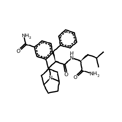 CC(C)C[C@H](NC(=O)[C@H](Cc1ccccc1)CN1C2CCC1CC(c1cccc(C(N)=O)c1)C2)C(N)=O